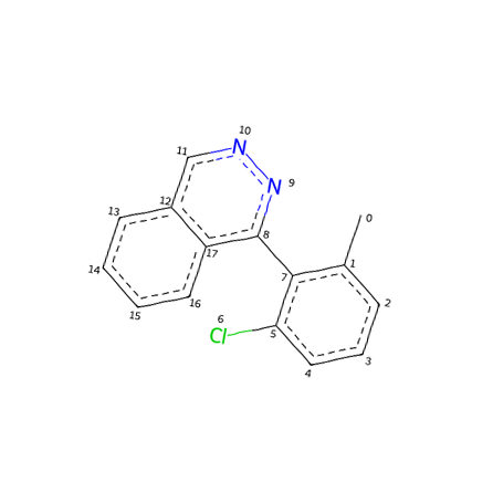 Cc1cccc(Cl)c1-c1nncc2ccccc12